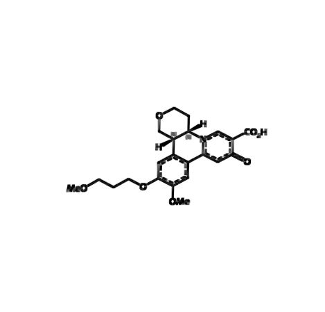 COCCCOc1cc2c(cc1OC)-c1cc(=O)c(C(=O)O)cn1[C@H]1CCOC[C@@H]21